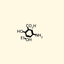 CCO.Nc1ccc(O)c(C(=O)O)c1